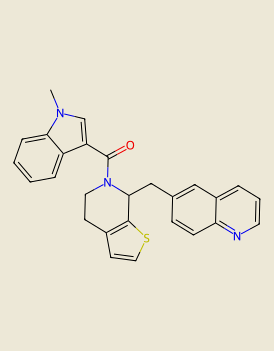 Cn1cc(C(=O)N2CCc3ccsc3C2Cc2ccc3ncccc3c2)c2ccccc21